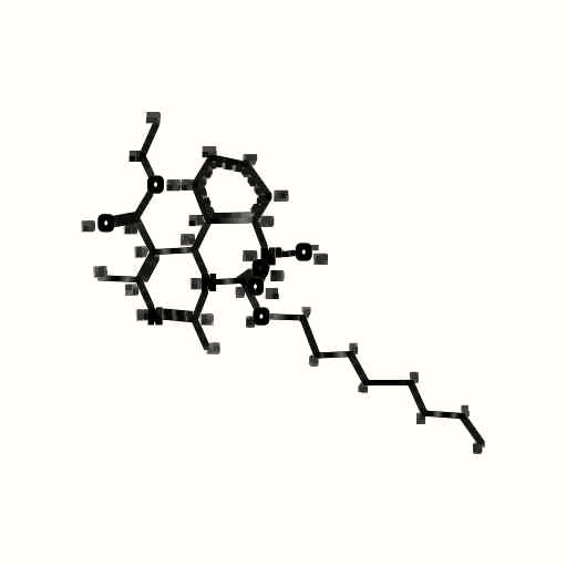 CCCCCCCCOC(=O)N1C(C)=NC(C)=C(C(=O)OCC)C1c1ccccc1[N+](=O)[O-]